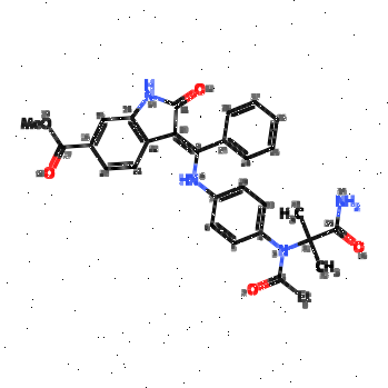 CCC(=O)N(c1ccc(NC(=C2C(=O)Nc3cc(C(=O)OC)ccc32)c2ccccc2)cc1)C(C)(C)C(N)=O